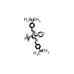 CN(C)c1ccc(/C=N/n2cc[n+](/N=C/c3ccc(N(C)C)cc3)c2N2CCOCC2)cc1.F[B-](F)(F)F